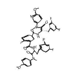 COc1ccc(N(C)C(=O)[C@H](Cc2cc(F)cc(F)c2)NC(=O)c2cc(C(=O)N[C@@H](Cc3cc(F)cc(F)c3)C(=O)N(C)c3ccc(OC)nc3)ccc2F)cc1